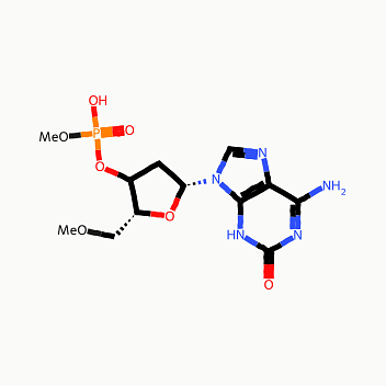 COC[C@H]1O[C@@H](n2cnc3c(N)nc(=O)[nH]c32)CC1OP(=O)(O)OC